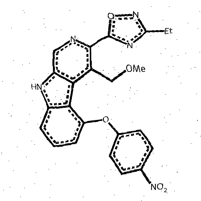 CCc1noc(-c2ncc3[nH]c4cccc(Oc5ccc([N+](=O)[O-])cc5)c4c3c2COC)n1